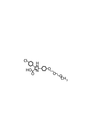 COCCOCCOc1ccc(-c2nc(C(=O)O)c(-c3ccc(Cl)cc3)[nH]2)cc1